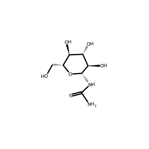 NC(=S)N[C@@H]1O[C@H](CO)[C@@H](O)[C@H](O)[C@H]1O